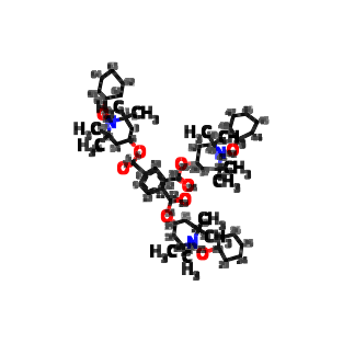 CC1(C)CC(OC(=O)c2ccc(C(=O)OC3CC(C)(C)N(OC4CCCCC4)C(C)(C)C3)c(C(=O)OC3CC(C)(C)N(OC4CCCCC4)C(C)(C)C3)c2)CC(C)(C)N1OC1CCCCC1